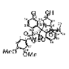 COc1ccc(S(=O)(=O)N2C(=O)C(c3ccccc3OC)(N3CC(O)CC3C(=O)N(C)C)c3cc(Cl)ccc32)cc1OC